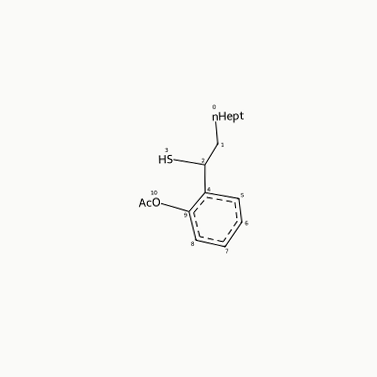 CCCCCCCCC(S)c1ccccc1OC(C)=O